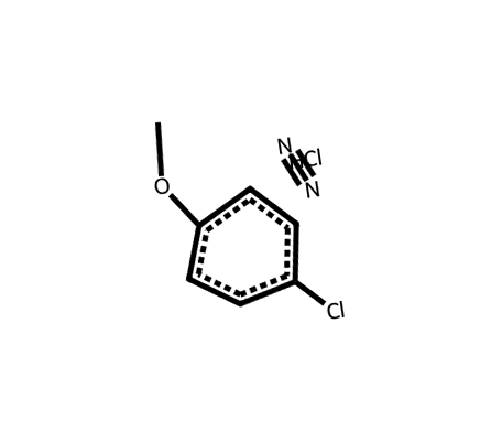 COc1ccc(Cl)cc1.Cl.N#N